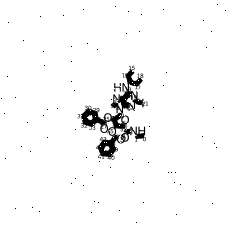 CCNC(=O)[C@H]1O[C@@H](n2cnc3c(NC(CC)CC)nc(I)nc32)[C@H](OC(=O)c2ccccc2)[C@@H]1OC(=O)c1ccccc1